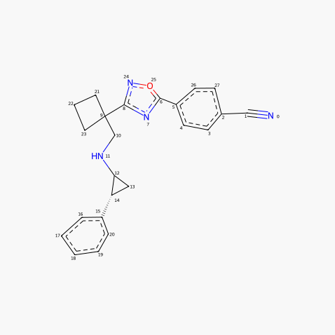 N#Cc1ccc(-c2nc(C3(CNC4C[C@@H]4c4ccccc4)CCC3)no2)cc1